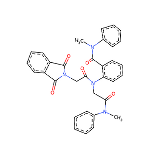 CN(C(=O)CN(C(=O)CN1C(=O)c2ccccc2C1=O)c1ccccc1C(=O)N(C)c1ccccc1)c1ccccc1